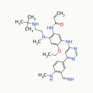 C=CC(=O)Nc1cc(Nc2cc(-c3ccc(NC)c(C=N)c3)ncn2)c(OCC)cc1N(C)CCNC(C)(C)C